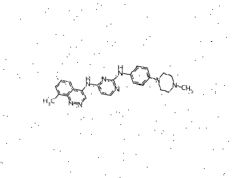 Cc1cccc2c(Nc3ccnc(Nc4ccc(N5CCN(C)CC5)cc4)n3)cnnc12